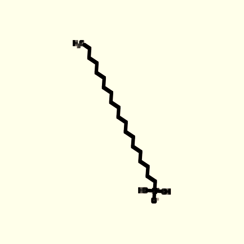 CCCCCCCCCCCCCCCCCCCC[N+]([O-])(O)O